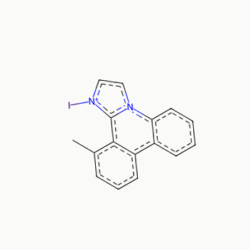 Cc1cccc2c3ccccc3n3cc[n+](I)c3c12